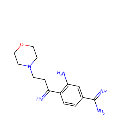 N=C(N)c1ccc(C(=N)CCN2CCOCC2)c(N)c1